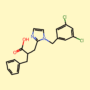 O=C(O)C(Cc1ccccc1)Cc1nccn1Cc1cc(Cl)cc(Cl)c1